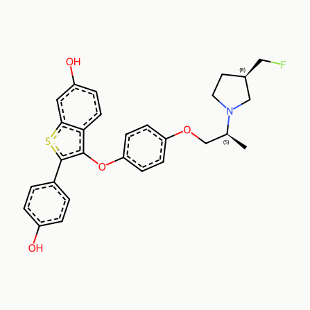 C[C@@H](COc1ccc(Oc2c(-c3ccc(O)cc3)sc3cc(O)ccc23)cc1)N1CC[C@@H](CF)C1